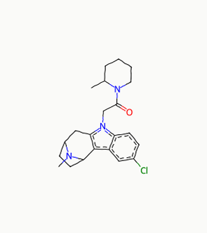 CC1CCCCN1C(=O)Cn1c2c(c3cc(Cl)ccc31)C1CCC(C2)N1C